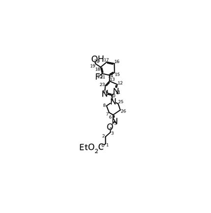 CCOC(=O)CCCON=C1CCN(c2ncc(-c3cccc(CO)c3F)cn2)CC1